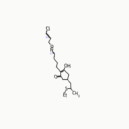 CCSC(C)CC1CC(=O)C(CCC/C=N/OC/C=C/Cl)=C(O)C1